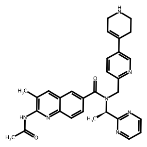 CC(=O)Nc1nc2ccc(C(=O)N(Cc3ccc(C4=CCNCC4)cn3)[C@H](C)c3ncccn3)cc2cc1C